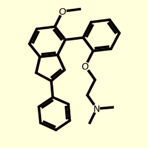 COc1ccc2c(c1-c1ccccc1OCCN(C)C)C=C(c1ccccc1)C2